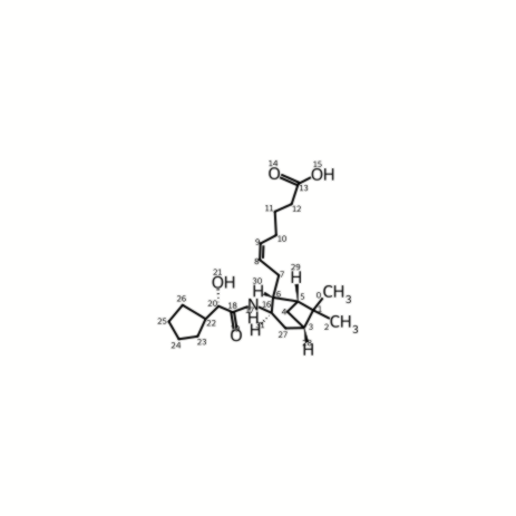 CC1(C)[C@H]2C[C@@H]1[C@@H](C/C=C\CCCC(=O)O)[C@H](NC(=O)[C@@H](O)C1CCCC1)C2